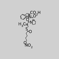 C[C@H](CSC(=O)CCCCO[N+](=O)[O-])C(=O)N1CCC[C@H]1C(=O)N[C@H](Cc1ccccc1)C(=O)O